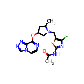 CC(=O)Nc1nc(F)c(CN2CC(Oc3nccn4cnnc34)CC2C)s1